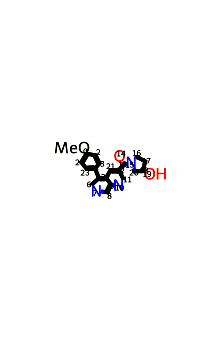 COc1ccc(-c2cncc3ncc(C(=O)N4CC[C@@H](O)C4)cc23)cc1